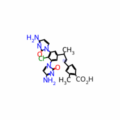 Cc1cc(/C=C/C(C)c2cc(-n3ccc(N)nc3=O)c(Cl)c(-n3ccc(N)nc3=O)c2)ccc1C(=O)O